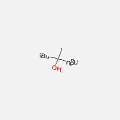 CCCCC(C)(O)C(C)CC